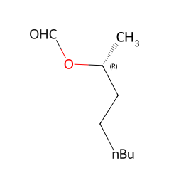 CCCCCC[C@@H](C)OC=O